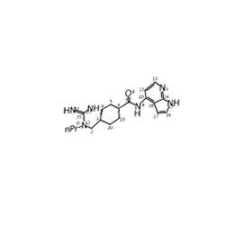 CCCN(CC1CCC(C(=O)Nc2ccnc3[nH]ccc23)CC1)C(=N)N